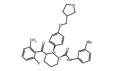 Cc1cccc(F)c1C(=O)N1CCC[C@H](C(=O)Nc2cccc(C(C)(C)C)c2)[C@@H]1c1ccc(OCC2CCOC2)cc1